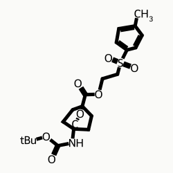 Cc1ccc(S(=O)(=O)CCOC(=O)C23CCC(NC(=O)OC(C)(C)C)(CC2)CO3)cc1